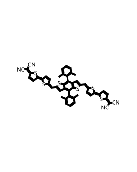 Cc1cccc(C)c1-c1c2cc(/C=c3\cc/c(=c4/ccc(=C(C#N)C#N)s4)s3)sc2c(-c2c(C)cccc2C)c2cc(/C=c3\cc/c(=c4/ccc(=C(C#N)C#N)s4)s3)sc12